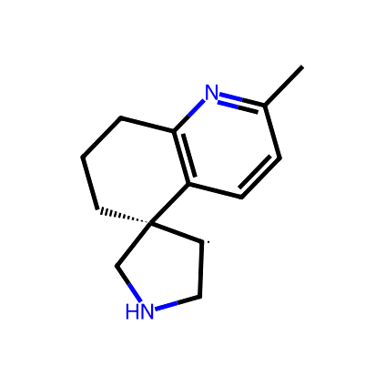 Cc1ccc2c(n1)CCC[C@@]21[CH]CNC1